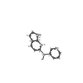 CN(c1cccnc1)c1ccc2cc[nH]c2n1